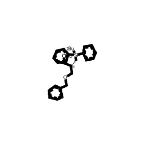 CC(C)(C)[Si](C[C@@H](CC=O)COCc1ccccc1)(c1ccccc1)c1ccccc1